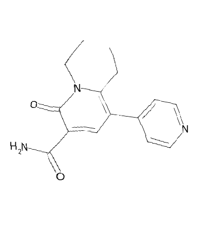 CCc1c(-c2ccncc2)cc(C(N)=O)c(=O)n1CC